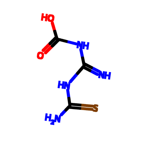 N=C(NC(=O)O)NC(N)=S